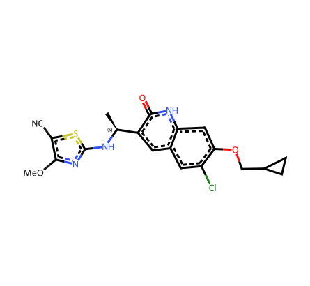 COc1nc(N[C@@H](C)c2cc3cc(Cl)c(OCC4CC4)cc3[nH]c2=O)sc1C#N